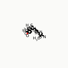 [2H]C1([2H])OC(=O)c2ccc([C@@H]3CN(Cc4cc(-c5cc(OC)c(C#N)cn5)no4)C[C@H](C)N3)c(C)c21